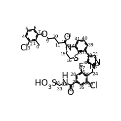 Cc1c(Cl)cccc1OCCCC(=O)N1CCSc2c(-c3cnn(Cc4c(F)cc(C(=O)NCS(=O)(=O)O)cc4Cl)c3)cccc21